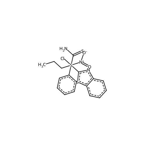 CCCS(Cl)(C(N)=S)(c1ccccc1)(c1nc2ccccc2s1)[N+](=O)[O-]